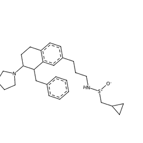 [O-][S+](CC1CC1)NCCCc1ccc2c(c1)C(Cc1ccccc1)C(N1CCCC1)CC2